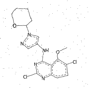 COc1c(Cl)ccc2nc(Cl)nc(Nc3cnn(C4CCCCO4)c3)c12